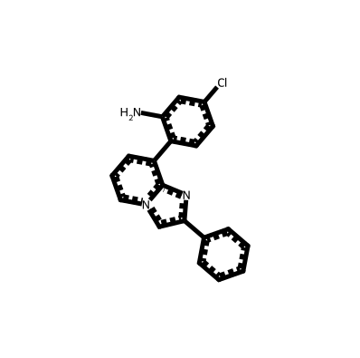 Nc1cc(Cl)ccc1-c1cccn2cc(-c3ccccc3)nc12